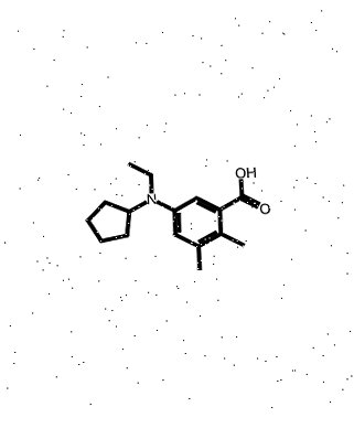 CCN(c1cc(C)c(C)c(C(=O)O)c1)C1CCCC1